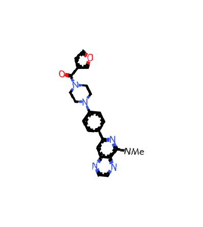 CNc1nc(-c2ccc(N3CCN(C(=O)c4ccoc4)CC3)cc2)cc2nccnc12